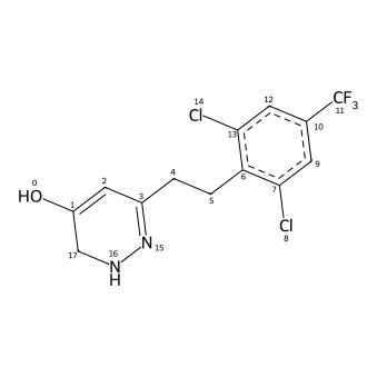 OC1=CC(CCc2c(Cl)cc(C(F)(F)F)cc2Cl)=NNC1